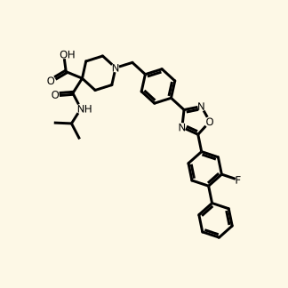 CC(C)NC(=O)C1(C(=O)O)CCN(Cc2ccc(-c3noc(-c4ccc(-c5ccccc5)c(F)c4)n3)cc2)CC1